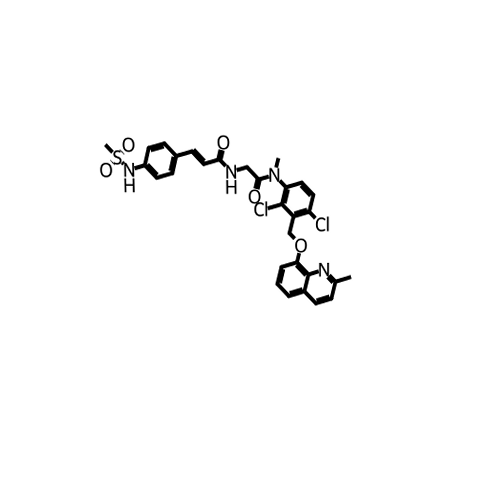 Cc1ccc2cccc(OCc3c(Cl)ccc(N(C)C(=O)CNC(=O)C=Cc4ccc(NS(C)(=O)=O)cc4)c3Cl)c2n1